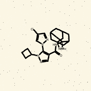 CC(=O)N[C@]12CC3CC(C1)[C@@H](NC(=O)c1cnn(C4CCC4)c1-n1cc(Cl)cn1)C(C3)C2